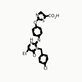 CCc1c[nH]/c(=N\c2ccc(Oc3ncc(C(=O)O)s3)cc2)n(Cc2ccc(Cl)cc2)c1=O